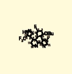 CC(C)COc1cc(F)cc2c3c(-c4nn[nH]c4C(F)(F)F)ccnc3c3ncn(C)c3c12